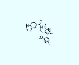 COc1nn(C)cc1-c1c2c(nn1C)[C@H](C)N(C(=O)c1ccc3ncccc3c1)CC2